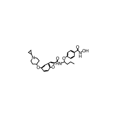 CCCC(NC(=O)c1cc2cc(OC3CCN(C4CC4)CC3)ccc2o1)Oc1ccc(C(=O)NO)cc1